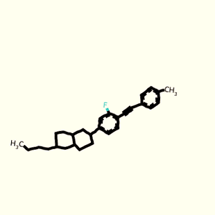 CCCCC1CCC2CC(c3ccc(C#Cc4ccc(C)cc4)c(F)c3)CCC2C1